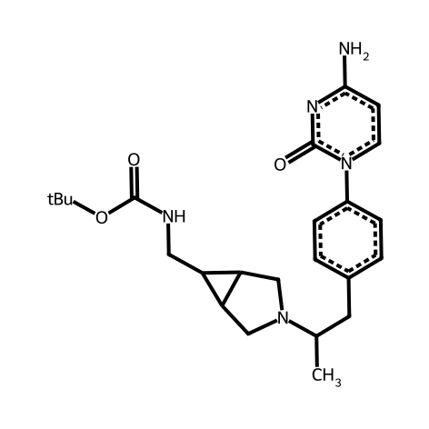 CC(Cc1ccc(-n2ccc(N)nc2=O)cc1)N1CC2C(CNC(=O)OC(C)(C)C)C2C1